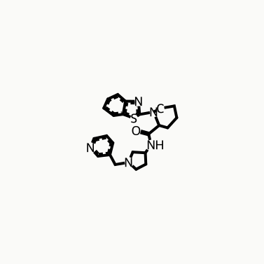 O=C(NC1CCN(Cc2cccnc2)C1)C1CCCCN1c1nc2ccccc2s1